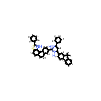 CC1(C)c2ccccc2-c2ccc(C3C=C(c4ccccc4)NC(c4ccc5c(ccc6ccc7c(c65)NC(c5ccccc5)S7)c4)N3)cc21